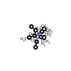 Cc1cc(C)c(-c2cc3c4c(c2)N(c2ccc(-c5ccccc5)cc2)c2cc5c(cc2B4N(c2ccc4c(c2)C(C)(C)CCC4(C)C)c2ccc(-c4ccccc4)cc2-3)C(C)(C)CCC5(C)C)c(C)c1